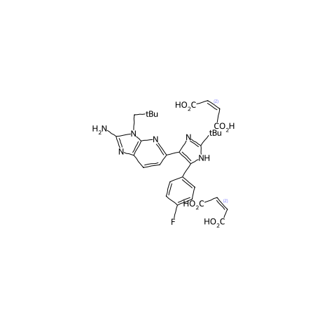 CC(C)(C)Cn1c(N)nc2ccc(-c3nc(C(C)(C)C)[nH]c3-c3ccc(F)cc3)nc21.O=C(O)/C=C\C(=O)O.O=C(O)/C=C\C(=O)O